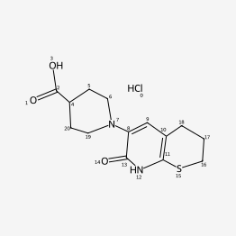 Cl.O=C(O)C1CCN(c2cc3c([nH]c2=O)SCCC3)CC1